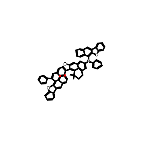 CC1(C)CCc2cc(N(c3ccccc3)c3c4ccccc4cc4c3oc3ccccc34)cc3cc4oc5cc(/C=C(/c6ccccc6)c6c7ccccc7cc7c6oc6ccccc67)ccc5c4c1c23